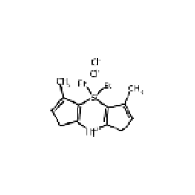 CC[Si]1(CC)C2=[C](CC=C2C)[Hf+2][C]2=C1C(C)=CC2.[Cl-].[Cl-]